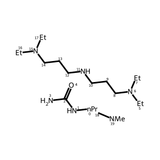 CCCNC(N)=O.CCN(CC)CCCNCCCN(CC)CC.CNC